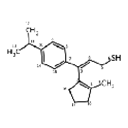 CC1=C(/C(=C\CS)c2ccc(C(C)C)cc2)CCC1